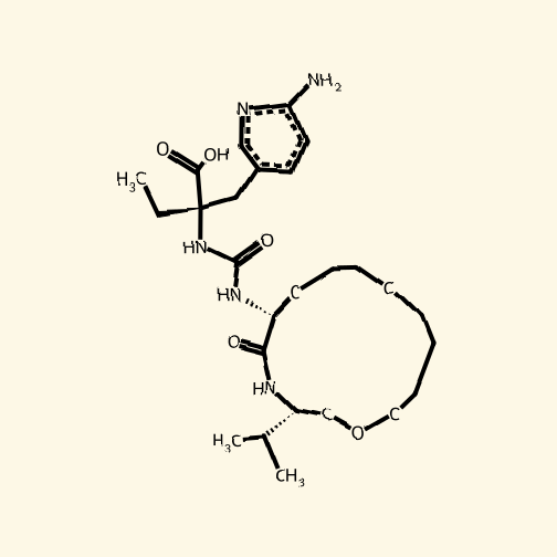 CC[C@@](Cc1ccc(N)nc1)(NC(=O)N[C@@H]1CCCCCCCCOC[C@H](C(C)C)NC1=O)C(=O)O